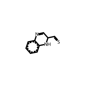 S=CC1C=Nc2ccccc2N1